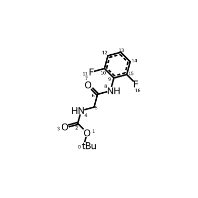 CC(C)(C)OC(=O)NCC(=O)Nc1c(F)cccc1F